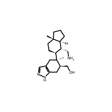 C[C@@]12CCC[C@H]1[C@H](CN)[C@@H]([C@]1(C)Cc3cn[nH]c3C[C@@H]1CO)CC2